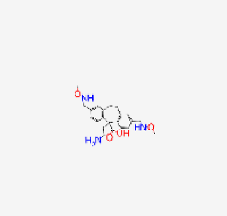 CONCc1ccc2c(c1)CCc1cc(CNOC)ccc1C2(CCN)C(=O)O